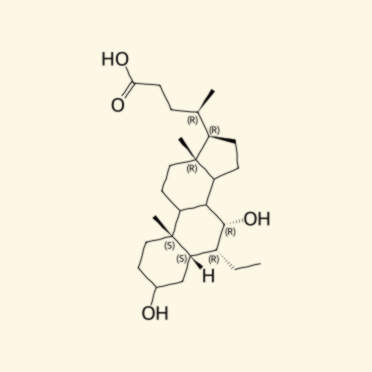 CC[C@H]1[C@@H](O)C2C3CC[C@H]([C@H](C)CCC(=O)O)[C@@]3(C)CCC2[C@@]2(C)CCC(O)C[C@@H]12